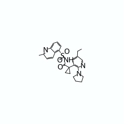 CCc1cnc(N2CCCC2)c(C2(C(=O)NS(=O)(=O)c3cccc4nc(C)ccc34)CC2)c1